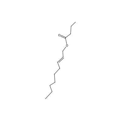 CCCCCC/C=C/COC(=O)CCC